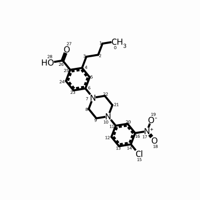 CCCCc1cc(N2CCN(c3ccc(Cl)c([N+](=O)[O-])c3)CC2)ccc1C(=O)O